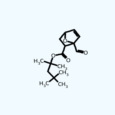 CC(C)(C)CC(C)(C)OC(=O)C1CC2C=CC1(C=O)O2